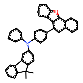 CC1(C)c2ccccc2-c2cc(N(c3ccccc3)c3ccc(-c4cc5ccccc5c5oc6ccccc6c45)cc3)ccc21